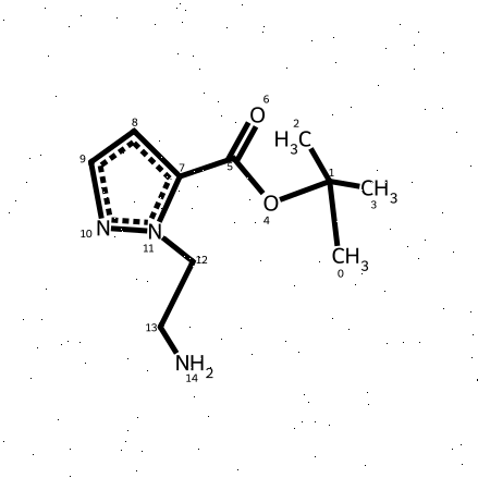 CC(C)(C)OC(=O)c1ccnn1CCN